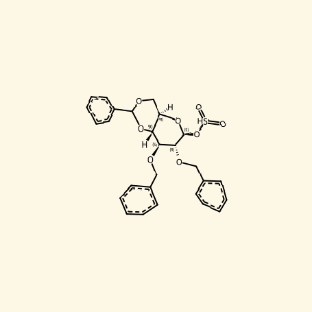 O=[SH](=O)O[C@@H]1O[C@@H]2COC(c3ccccc3)O[C@H]2[C@H](OCc2ccccc2)[C@H]1OCc1ccccc1